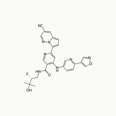 CC(C)(O)[C@H](F)CNC(=O)c1cnc(-c2ccc3cc(C#N)cnn23)cc1Nc1ccc(-c2cnoc2)nc1